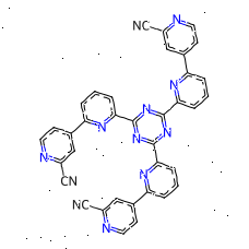 N#Cc1cc(-c2cccc(-c3nc(-c4cccc(-c5ccnc(C#N)c5)n4)nc(-c4cccc(-c5ccnc(C#N)c5)n4)n3)n2)ccn1